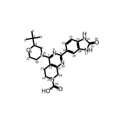 CC(C)(C)C1CN(c2nc(-c3ccc4[nH]c(=O)[nH]c4c3)nc3c2CCN(C(=O)O)C3)CCO1